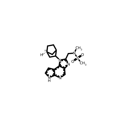 CN(Cc1nc2cnc3[nH]ccc3c2n1C1C[C@H]2CCC1C2)S(C)(=O)=O